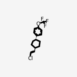 FC(F)(F)Oc1ccc([C@H]2CC[C@H](/C=C/Cl)CC2)cc1